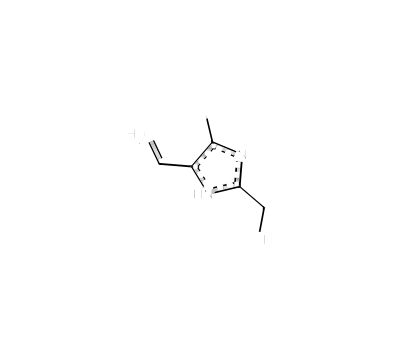 C=[C]c1[nH]c(CC)nc1Cl